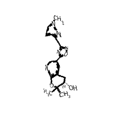 Cn1ccc(-c2noc(-c3cnc4c(c3)C[C@H](O)C(C)(C)O4)n2)n1